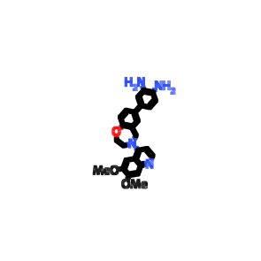 COc1cc2nccc(N3CCOc4ccc(-c5ccc(N)c(N)c5)cc4C3)c2cc1OC